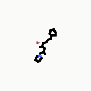 CC(CCCCc1ccccc1)CC(C)C[n+]1ccccc1.[Br-]